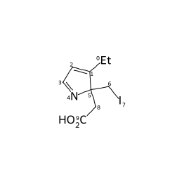 CCC1=CC=NC1(CI)CC(=O)O